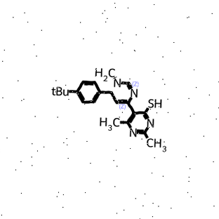 C=N/C=N\C(=C/Cc1ccc(C(C)(C)C)cc1)c1c(C)nc(C)nc1S